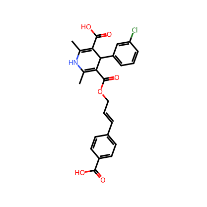 CC1=C(C(=O)O)C(c2cccc(Cl)c2)C(C(=O)OCC=Cc2ccc(C(=O)O)cc2)=C(C)N1